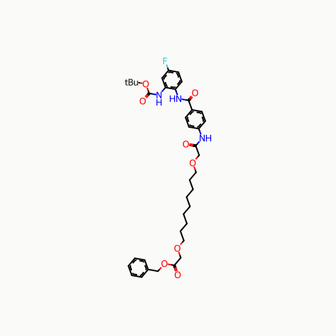 CC(C)(C)OC(=O)Nc1cc(F)ccc1NC(=O)c1ccc(NC(=O)COCCCCCCCCCOCC(=O)OCc2ccccc2)cc1